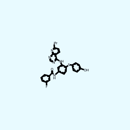 CC(C)c1ccc2c(Nc3cc(NC(=O)c4cccc(F)c4)ccc3Sc3ccc(O)cc3)ncnc2n1